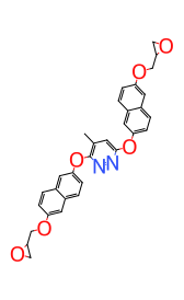 Cc1cc(Oc2ccc3cc(OCC4CO4)ccc3c2)nnc1Oc1ccc2cc(OCC3CO3)ccc2c1